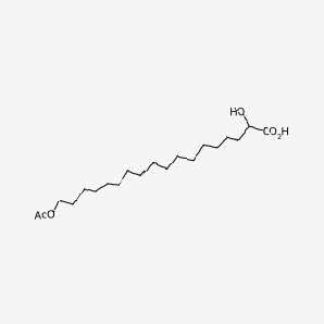 CC(=O)OCCCCCCCCCCCCCCCCC(O)C(=O)O